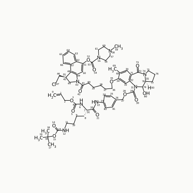 C=CCOC(=O)N[C@@H](CCCCNC(=O)OC(C)(C)C)C(=O)Nc1ccc(COC(=O)N2c3cc(OCCCCCC(=O)N4C[C@@H](CCl)c5c4cc(OC(=O)N4CCN(C)CC4)c4ccccc54)c(C)cc3C(=O)N3CCC[C@H]3C2O)cc1